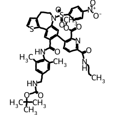 CCCNC(=O)c1ccc(-c2cc3c(cc2C(=O)Nc2c(C)cc(CNC(=O)OC(C)(C)C)cc2C)-c2sccc2CCN3S(=O)(=O)c2ccc([N+](=O)[O-])cc2)c(C(=O)OC)n1